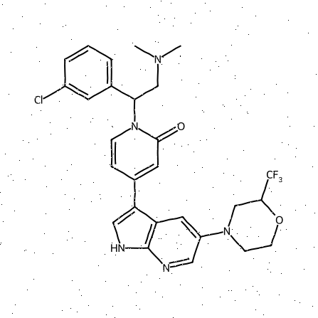 CN(C)CC(c1cccc(Cl)c1)n1ccc(-c2c[nH]c3ncc(N4CCOC(C(F)(F)F)C4)cc23)cc1=O